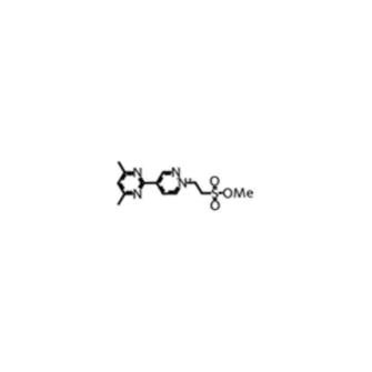 COS(=O)(=O)CC[n+]1ccc(-c2nc(C)cc(C)n2)cn1